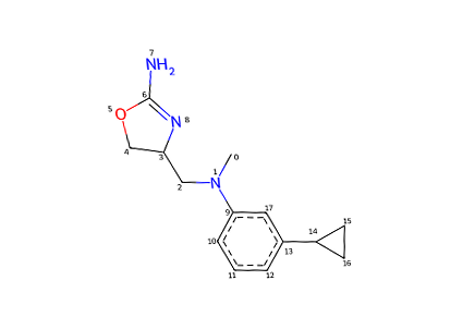 CN(CC1COC(N)=N1)c1cccc(C2CC2)c1